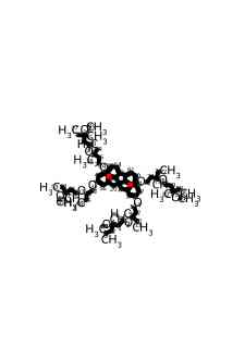 CCCC(C)(CCOC(C)(CC)CCOc1cc(CC2(Cc3cc(OCCC(C)(CC)OCCC(C)(CC)OC)cc(OCC(CC)OCCC(C)(CC)OC)c3)c3ccccc3-c3ccccc32)cc(OCCC(C)(CC)OCCC(C)(CC)OC)c1)OC